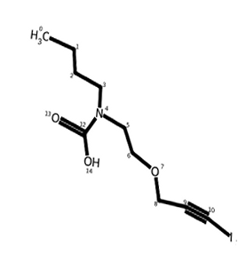 CCCCN(CCOCC#CI)C(=O)O